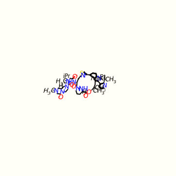 CCn1c(-c2cccnc2[C@H](C)OC)c2c3cc(ccc31)-c1csc(n1)C[C@H](NC(=O)[C@H](C(C)C)N(C)C(=O)N1CCN3C(=O)CN(C)C[C@@H]3C1)C(=O)N1CCC[C@H](N1)C(=O)OCC(C)(C)C2